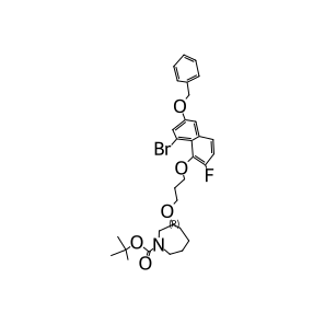 CC(C)(C)OC(=O)N1CCCC[C@@H](OCCCOc2c(F)ccc3cc(OCc4ccccc4)cc(Br)c23)C1